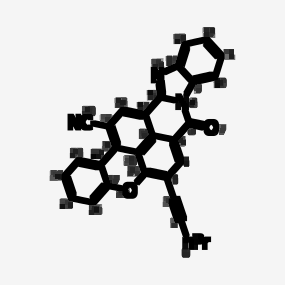 CCCC#Cc1cc2c(=O)n3c4ccccc4nc3c3cc(C#N)c4c5ccccc5oc1c4c23